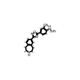 CCCNc1ccc(-c2nc(-c3ccc4c(c3)CCNCC4)no2)cc1C#N